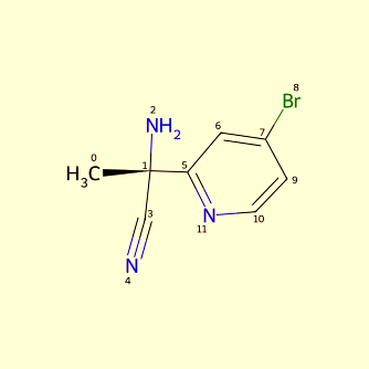 C[C@](N)(C#N)c1cc(Br)ccn1